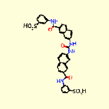 O=C(Nc1ccc2ccc(C(=O)Nc3cccc(S(=O)(=O)O)c3)cc2c1)Nc1ccc2ccc(C(=O)Nc3cccc(S(=O)(=O)O)c3)cc2c1